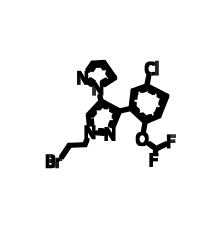 FC(F)Oc1ccc(Cl)cc1-c1nn(CCBr)cc1-n1cccn1